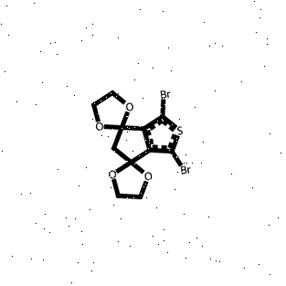 Brc1sc(Br)c2c1C1(CC23OCCO3)OCCO1